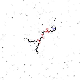 [CH2]C(COC(=O)CCC(OCCCC/C=C\CC)OCCCC/C=C\CC)COC(=O)OCCC1CCCN1CC